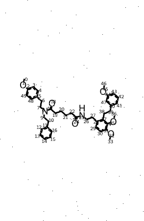 COc1ccc(CCN(CCc2ccccc2)C(=O)CCCCC(=O)NCCc2ccc(OC)c(OC)c2CCc2cccc(OC)c2)cc1